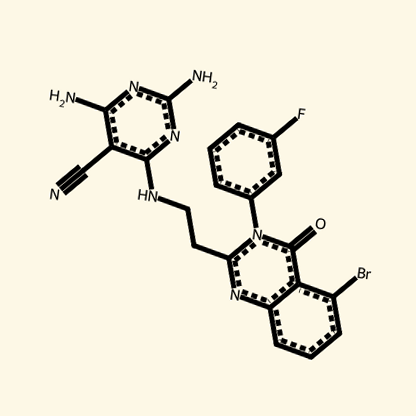 N#Cc1c(N)nc(N)nc1NCCc1nc2cccc(Br)c2c(=O)n1-c1cccc(F)c1